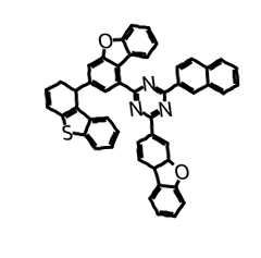 C1=Cc2sc3ccccc3c2C(c2cc(-c3nc(C4=CC5Oc6ccccc6C5C=C4)nc(-c4ccc5ccccc5c4)n3)c3c(c2)oc2ccccc23)C1